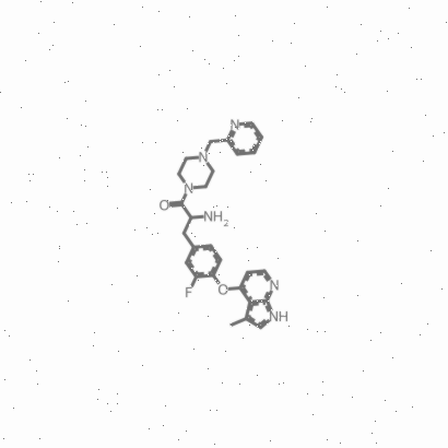 Cc1c[nH]c2nccc(Oc3ccc(CC(N)C(=O)N4CCN(Cc5ccccn5)CC4)cc3F)c12